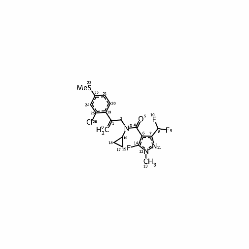 C=C(CN(C(=O)c1c(C(F)F)nn(C)c1F)C1CC1)c1ccc(SC)cc1Cl